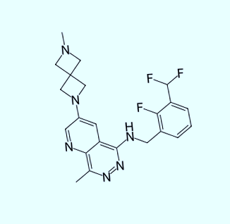 Cc1nnc(NCc2cccc(C(F)F)c2F)c2cc(N3CC4(CN(C)C4)C3)cnc12